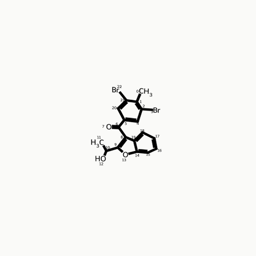 Cc1c(Br)cc(C(=O)c2c(C(C)O)oc3ccccc23)cc1Br